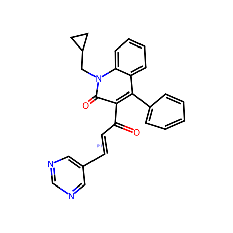 O=C(/C=C/c1cncnc1)c1c(-c2ccccc2)c2ccccc2n(CC2CC2)c1=O